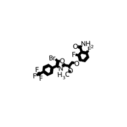 COC(COc1ccc(F)c(C(N)=O)c1F)c1nc(-c2ccc(C(F)(F)F)cc2)c(Br)o1